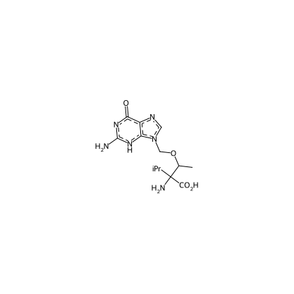 CC(C)C(N)(C(=O)O)C(C)OCn1cnc2c(=O)nc(N)[nH]c21